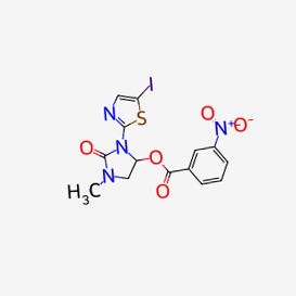 CN1CC(OC(=O)c2cccc([N+](=O)[O-])c2)N(c2ncc(I)s2)C1=O